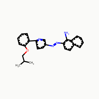 CC(C)COc1ccccc1-c1ccc(N=Nc2ccc3ccccc3c2N)cn1